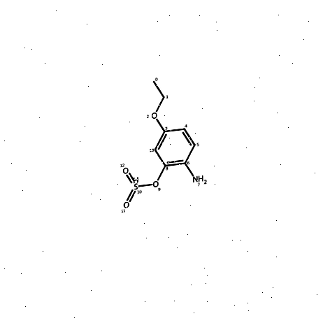 CCOc1ccc(N)c(O[SH](=O)=O)c1